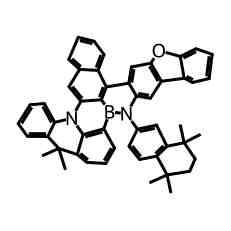 CC1(C)CCC(C)(C)c2cc(N3B4c5cccc6c5N(c5ccccc5C6(C)C)c5cc6ccccc6c(c54)-c4cc5oc6ccccc6c5cc43)ccc21